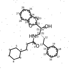 O=C([CH]CC1CCCCC1)N[C@@H](CCc1ccccc1)[C@H](O)c1nc2ccccc2o1